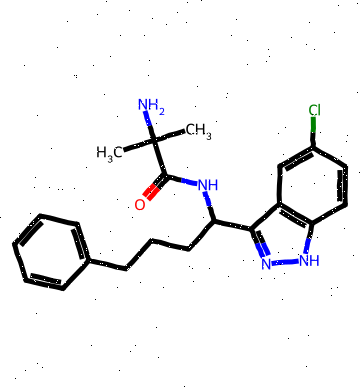 CC(C)(N)C(=O)NC(CCCc1ccccc1)c1n[nH]c2ccc(Cl)cc12